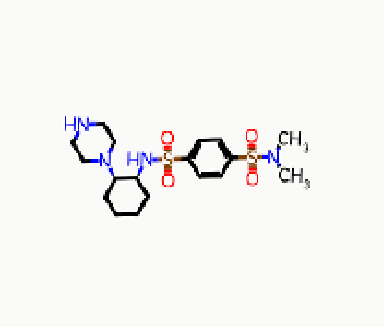 CN(C)S(=O)(=O)c1ccc(S(=O)(=O)N[C@H]2CCCC[C@H]2N2CCNCC2)cc1